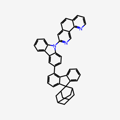 c1ccc2c(c1)-c1c(-c3ccc4c(c3)c3ccccc3n4-c3cc4ccc5cccnc5c4cn3)cccc1C21C2CC3CC(C2)CC1C3